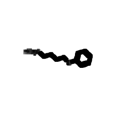 CCCCCCCCCC[CH]Oc1ccccc1